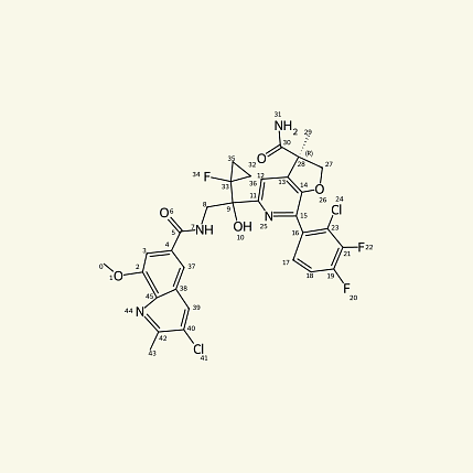 COc1cc(C(=O)NCC(O)(c2cc3c(c(-c4ccc(F)c(F)c4Cl)n2)OC[C@]3(C)C(N)=O)C2(F)CC2)cc2cc(Cl)c(C)nc12